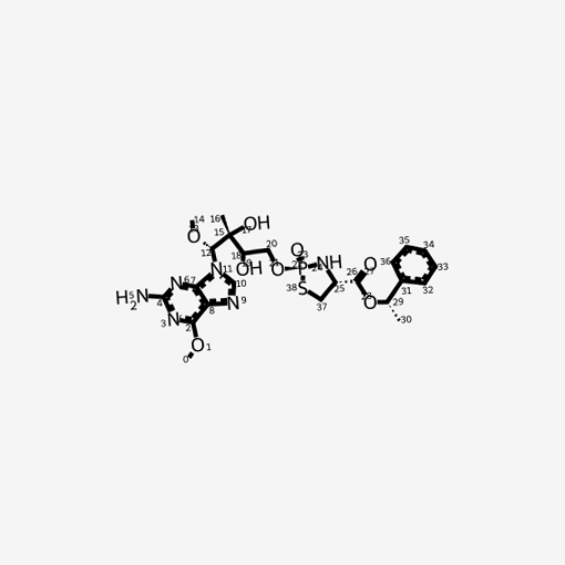 COc1nc(N)nc2c1ncn2[C@H](OC)[C@](C)(O)C(O)CO[P@@]1(=O)N[C@H](C(=O)O[C@@H](C)c2ccccc2)CS1